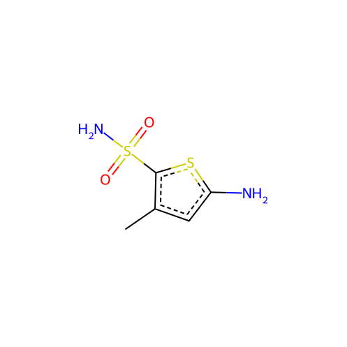 Cc1cc(N)sc1S(N)(=O)=O